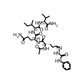 CCC(C)[C@H](NC(=O)[C@H](CCC(N)=O)NC(=O)[C@H](CC/C=N\NC(=O)Nc1ccccc1)NC(C)=O)C(=O)N[C@H](C(N)=O)C(C)C